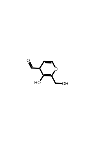 O=CC1C=COC(CO)=C1O